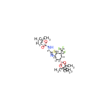 CC(C)(C)OC(=O)NCc1nc2cc(B3OC(C)(C)C(C)(C)O3)cc(C(F)(F)F)c2s1